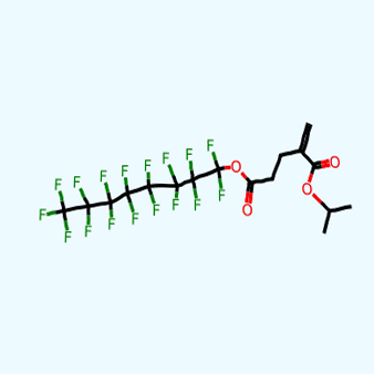 C=C(CCC(=O)OC(F)(F)C(F)(F)C(F)(F)C(F)(F)C(F)(F)C(F)(F)C(F)(F)C(F)(F)F)C(=O)OC(C)C